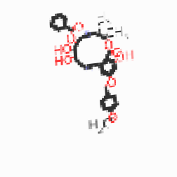 COc1ccc(COc2cc(O)c3c(c2)/C=C/C[C@H](O)[C@H](O)C(OC(=O)c2ccccc2)/C=C\[C@@H](C)[C@H](C)OC3=O)cc1